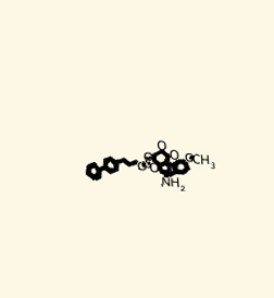 COc1ccc2c3c1OC1C(=O)CCC4(OS(=O)OCCCc5ccc(-c6ccccc6)cc5)C(C2)C(N)CCC314